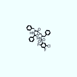 O=C(N[C@H](Cc1ccccc1)C(=O)OC[C@@H](Cc1ccccc1)NS(=O)(=O)c1cc(Cl)c(F)cc1F)c1ccccc1